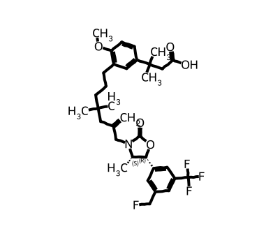 C=C(CN1C(=O)O[C@H](c2cc(CF)cc(C(F)(F)F)c2)[C@@H]1C)CC(C)(C)CCCc1cc(C(C)(C)CC(=O)O)ccc1OC